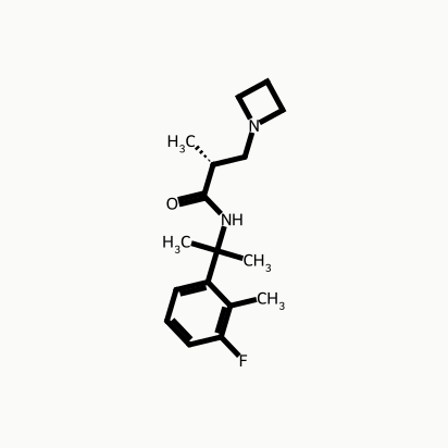 Cc1c(F)cccc1C(C)(C)NC(=O)[C@H](C)CN1CCC1